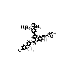 Cc1cc(Cl)ccc1-c1ccc(NC(=O)[C@@H](Cc2ccc(C(=O)NCCS(=O)(=O)O)cc2)c2ccc(C3=CC[C@H](C(C)(C)C)CC3)cc2)cc1.N